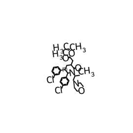 CCC(CN1CCOCC1)N1C(=O)C(CC(=O)OC(C)(C)C)C[C@H](c2cccc(Cl)c2)C1c1ccc(Cl)cc1